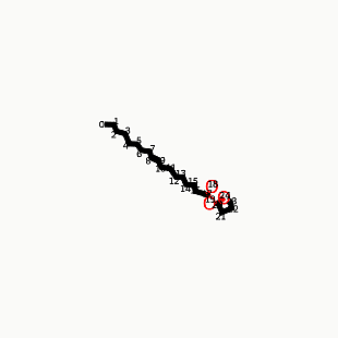 CCCCCCCCC=CCCCCCCCC(=O)OC1CCCO1